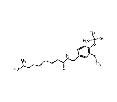 COc1cc(CNC(=O)CCCCCCC(C)C)ccc1OC(C)(C)S